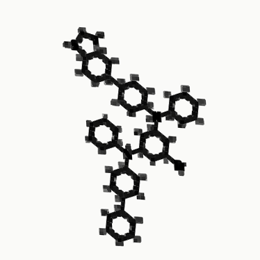 Brc1cc(N(c2ccccc2)c2ccc(-c3ccccc3)cc2)cc(N(c2ccccc2)c2ccc(-c3ccc4sccc4c3)cc2)c1